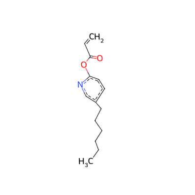 C=CC(=O)Oc1ccc(CCCCCC)cn1